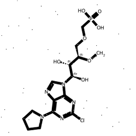 CO[C@H](COCP(=O)(O)O)[C@@H](O)[C@@H](O)n1cnc2c(N3CCCC3)nc(Cl)nc21